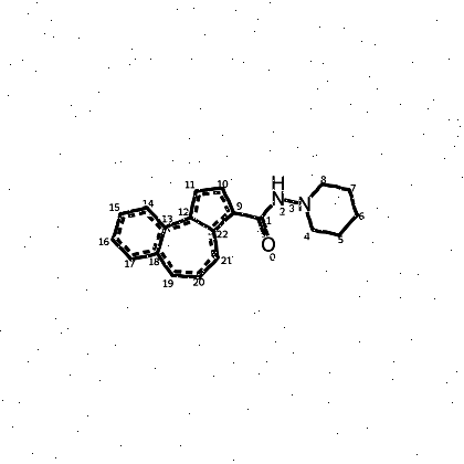 O=C(NN1CCCCC1)c1ccc2c3ccccc3cccc1-2